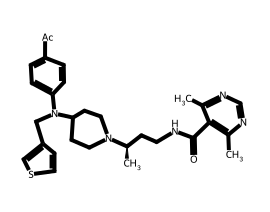 CC(=O)c1ccc(N(Cc2ccsc2)C2CCN([C@H](C)CCNC(=O)c3c(C)ncnc3C)CC2)cc1